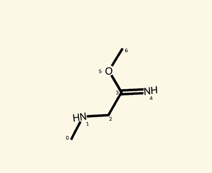 CNCC(=N)OC